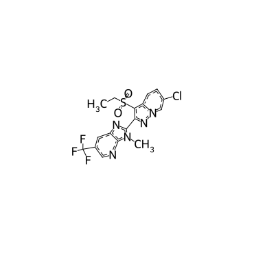 CCS(=O)(=O)c1c(-c2nc3cc(C(F)(F)F)cnc3n2C)nn2cc(Cl)ccc12